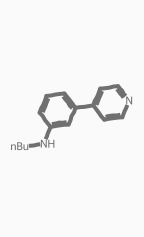 CCCCNc1cccc(-c2ccncc2)c1